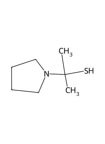 CC(C)(S)N1CCCC1